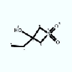 CCC1(O)CS(=O)(=O)C1